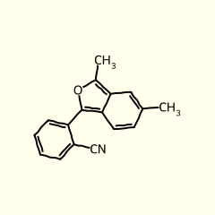 Cc1ccc2c(-c3ccccc3C#N)oc(C)c2c1